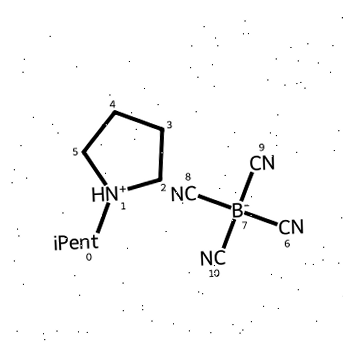 CCCC(C)[NH+]1CCCC1.N#C[B-](C#N)(C#N)C#N